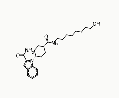 NC(=O)c1cc2ccccc2n1[C@H]1CC[C@H](C(=O)NCCCCCCCCO)CC1